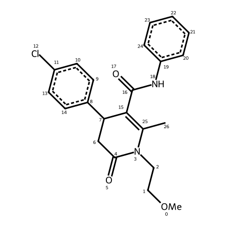 COCCN1C(=O)CC(c2ccc(Cl)cc2)C(C(=O)Nc2ccccc2)=C1C